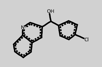 OC(c1ccc(Cl)cc1)c1cnc2ccccc2c1